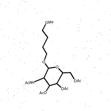 COCCCCOC1OC(COC(C)=O)C(OC(C)=O)C(OC(C)=O)C1NC(C)=O